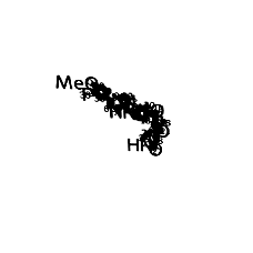 COc1ccc(-c2cnc3c(Nc4ccc(C(=O)N(C)CC(=O)N5CCNC(=O)C5)c(C)c4)nccn23)cc1F